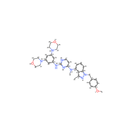 COc1ccc(Cn2nc(C)c3c(N(C)c4ccnc(Nc5cc(N6CCOCC6)cc(N6CCOCC6)c5)n4)cccc32)cc1